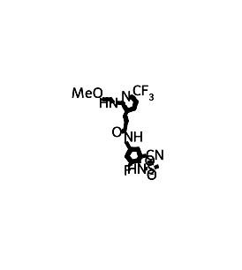 COCCNc1nc(C(F)(F)F)ccc1C=CC(=O)NCc1cc(F)c(NS(C)(=O)=O)c(C#N)c1